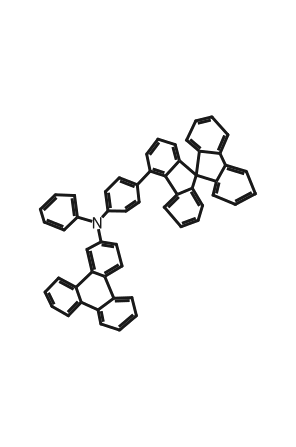 c1ccc(N(c2ccc(-c3cccc4c3-c3ccccc3C43c4ccccc4-c4ccccc43)cc2)c2ccc3c4ccccc4c4ccccc4c3c2)cc1